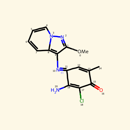 COc1nn2ccccc2c1/N=C1\C=C(C)C(=O)C(Cl)=C1N